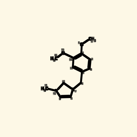 COc1ccc(CN2C=CN(C)C2)cc1OC